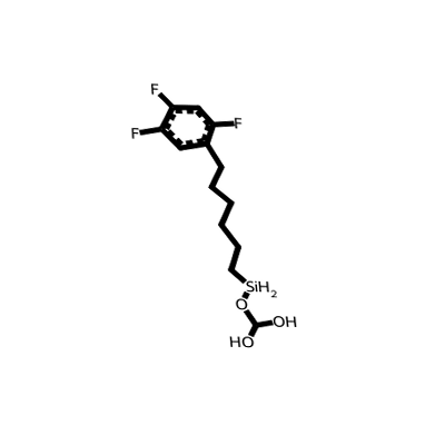 OC(O)O[SiH2]CCCCCCc1cc(F)c(F)cc1F